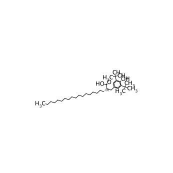 CCCCCCCCCCCCCCCCCC[C@@H](Cc1cc(C(C)(C)C)c(O)c(C(C)(C)C)c1)C(=O)O